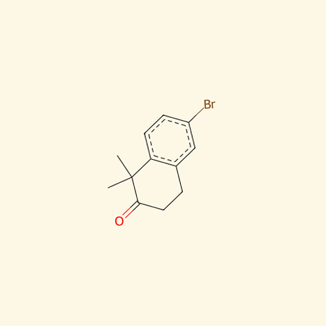 CC1(C)C(=O)CCc2cc(Br)ccc21